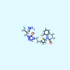 Cc1cccc2c1N(c1ccc(CCn3cnn(C/C(=C/F)CN)c3=O)s1)C(=O)CC2